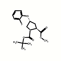 COC(=O)[C@@H]1C[C@@H](Oc2ccccc2F)CN1C(=O)OC(C)(C)C